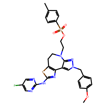 COc1ccc(Cn2cc3c(n2)N(CCOS(=O)(=O)c2ccc(C)cc2)CCc2sc(Nc4ncc(F)cn4)nc2-3)cc1